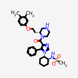 Cc1ccc(OCC[C@@H]2CNCCN2C(=O)c2ncn([C@H]3CCCC[C@@H]3NS(C)(=O)=O)c2-c2ccccc2)cc1C